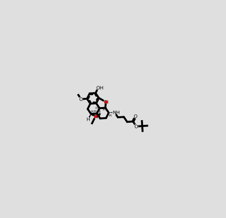 COc1cc(O)c2c3c1C[C@@H]1[C@@H]4CC[C@@H](NCCCC(=O)OC(C)(C)C)[C@H](O2)[C@]34CCN1C